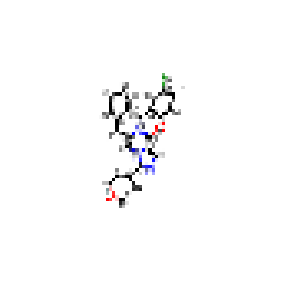 O=c1c2cnc(C3CCOCC3)n2cc(Cc2ccccc2)n1Cc1cccc(F)c1